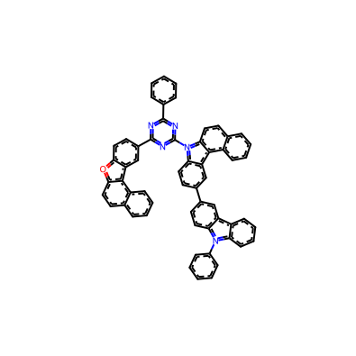 c1ccc(-c2nc(-c3ccc4oc5ccc6ccccc6c5c4c3)nc(-n3c4ccc(-c5ccc6c(c5)c5ccccc5n6-c5ccccc5)cc4c4c5ccccc5ccc43)n2)cc1